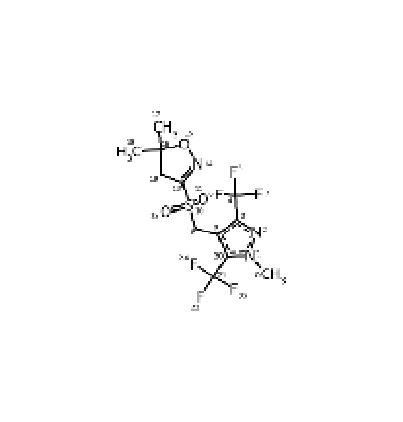 Cn1nc(C(F)(F)F)c(CS(=O)(=O)C2=NOC(C)(C)C2)c1C(F)(F)F